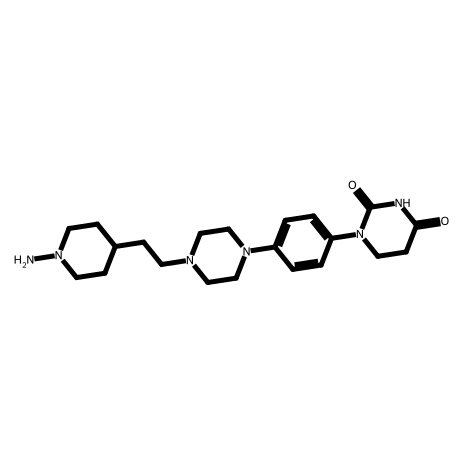 NN1CCC(CCN2CCN(c3ccc(N4CCC(=O)NC4=O)cc3)CC2)CC1